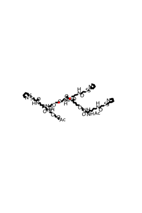 CC(=O)COCCOCCNC(=O)[C@H](CCCCNC(=O)CCSSc1ccccn1)NC(=O)COCCOCCNC(=O)[C@H](CCCCNC(=O)CCSSc1ccccn1)NC(=O)CCCCOCCNC(=O)[C@H](CCCCNC(=O)CCSSc1ccccn1)NC(C)=O